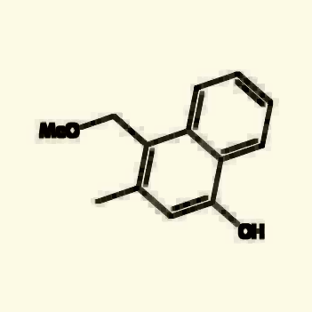 COCc1c(C)cc(O)c2ccccc12